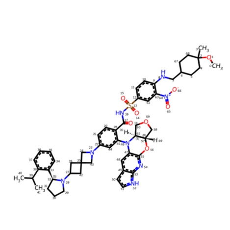 COC1(C)CCC(CNc2ccc(S(=O)(=O)NC(=O)c3ccc(N4CC5(CC(N6CCC[C@H]6c6ccccc6C(C)C)C5)C4)cc3N3c4cc5cc[nH]c5nc4O[C@H]4COC[C@@H]43)cc2[N+](=O)[O-])CC1